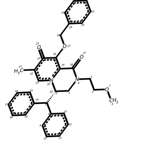 COCCN1C[C@H](C(c2ccccc2)c2ccccc2)n2cc(C)c(=O)c(OCc3ccccc3)c2C1=O